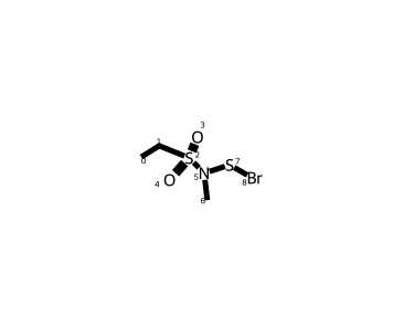 CCS(=O)(=O)N(C)SBr